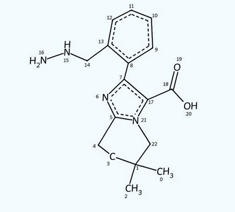 CC1(C)CCc2nc(-c3ccccc3CNN)c(C(=O)O)n2C1